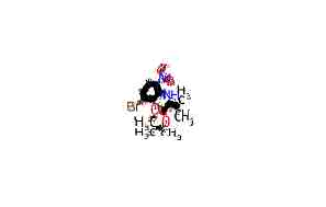 CC(C)[C@@H](Nc1cc(Br)ccc1[N+](=O)[O-])C(=O)OC(C)(C)C